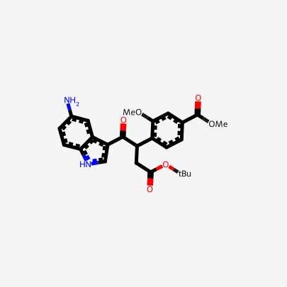 COC(=O)c1ccc(C(CC(=O)OC(C)(C)C)C(=O)c2c[nH]c3ccc(N)cc23)c(OC)c1